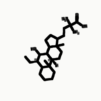 BC(B)(CCC1CCC2C3C(O)[C@H](CC)C4CCCCC4(C)[C@H]3CCC12C)C(=O)O